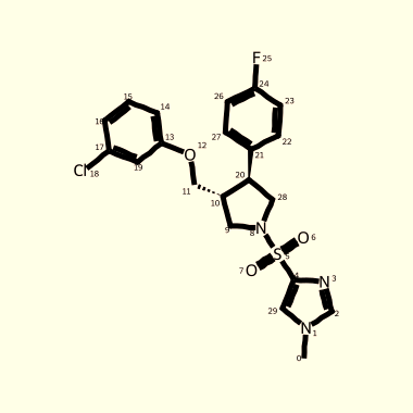 Cn1cnc(S(=O)(=O)N2C[C@H](COc3cccc(Cl)c3)[C@@H](c3ccc(F)cc3)C2)c1